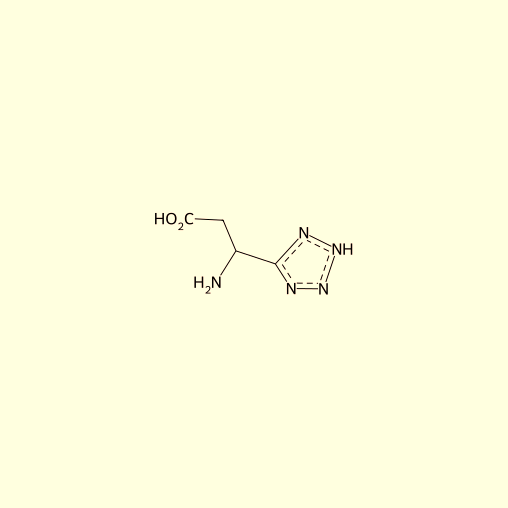 NC(CC(=O)O)c1nn[nH]n1